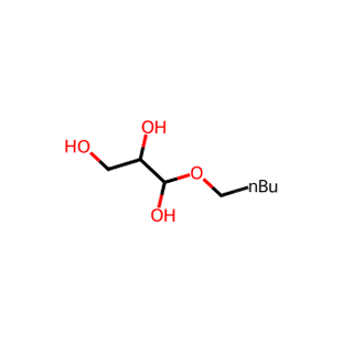 CCCCCOC(O)C(O)CO